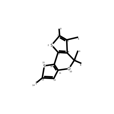 Cc1sc2c(c1C)C(C)(C)Oc1cc(I)sc1-2